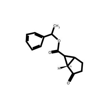 CC(OC(=O)C1C2CCC(=O)[C@@H]21)c1ccccc1